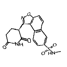 CNS(=O)(=O)c1ccc2c(ccc3onc([C@@H]4CCC(=O)NC4=O)c32)c1